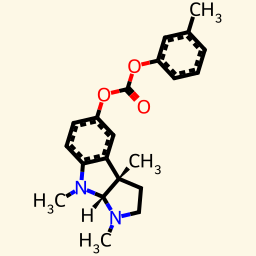 Cc1cccc(OC(=O)Oc2ccc3c(c2)[C@]2(C)CCN(C)[C@@H]2N3C)c1